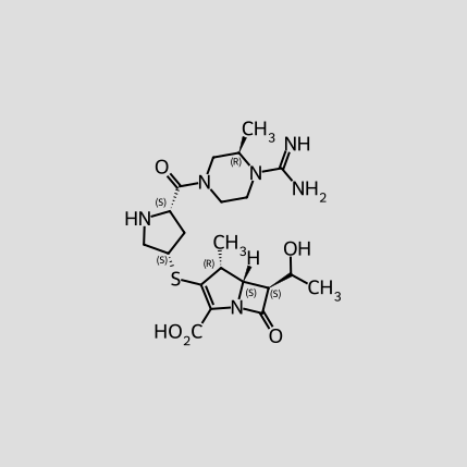 CC(O)[C@H]1C(=O)N2C(C(=O)O)=C(S[C@@H]3CN[C@H](C(=O)N4CCN(C(=N)N)[C@H](C)C4)C3)[C@H](C)[C@H]12